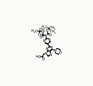 CC(C)(C)OC(=O)N(C(=O)OC(C)(C)C)c1ncc(-c2nc(N3CCOCC3)c3ncn(CC(=O)O)c3n2)cn1